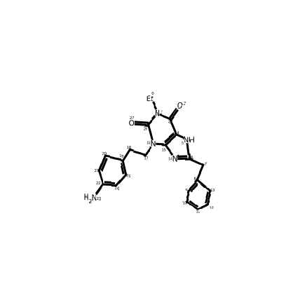 CCn1c(=O)c2[nH]c(Cc3ccccc3)nc2n(CCc2ccc(N)cc2)c1=O